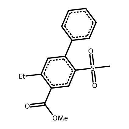 CCc1cc(-c2ccccc2)c(S(C)(=O)=O)cc1C(=O)OC